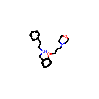 c1ccc(CCNCc2ccccc2OCCCN2CCOCC2)cc1